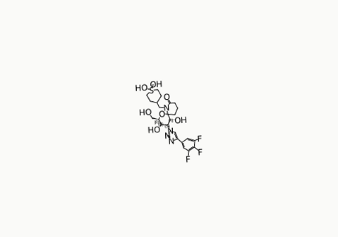 O=C1CCCC2(O[C@H](CO)[C@H](O)[C@H](n3cc(-c4cc(F)c(F)c(F)c4)nn3)[C@H]2O)N1CC1CCS(O)(O)CC1